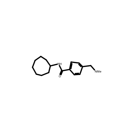 CNCc1ccc(C(=O)NC2CCCCCCC2)cc1